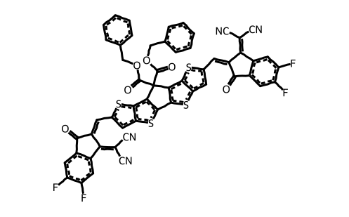 N#CC(C#N)=C1/C(=C/c2cc3sc4c(c3s2)C(C(=O)OCc2ccccc2)(C(=O)OCc2ccccc2)c2c-4sc3cc(/C=C4/C(=O)c5cc(F)c(F)cc5C4=C(C#N)C#N)sc23)C(=O)c2cc(F)c(F)cc21